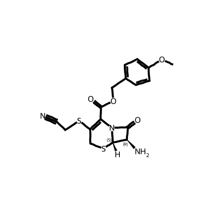 COc1ccc(COC(=O)C2=C(SCC#N)CS[C@H]3[C@H](N)C(=O)N23)cc1